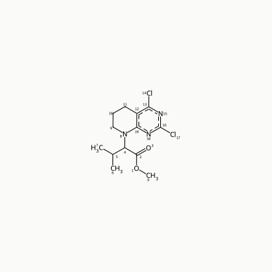 COC(=O)C(C(C)C)N1CCCc2c(Cl)nc(Cl)nc21